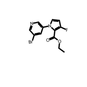 CCOC(=O)c1c(F)ccn1-c1cncc(Br)c1